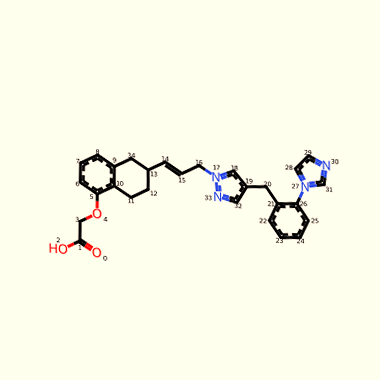 O=C(O)COc1cccc2c1CCC(C=CCn1cc(Cc3ccccc3-n3ccnc3)cn1)C2